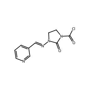 O=C(Cl)N1CCN(N=Cc2cccnc2)C1=O